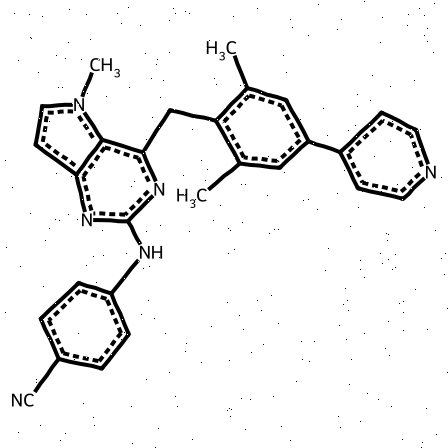 Cc1cc(-c2ccncc2)cc(C)c1Cc1nc(Nc2ccc(C#N)cc2)nc2ccn(C)c12